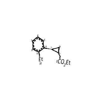 CCOC(=O)C1C[C@@H]1c1ccccc1CC